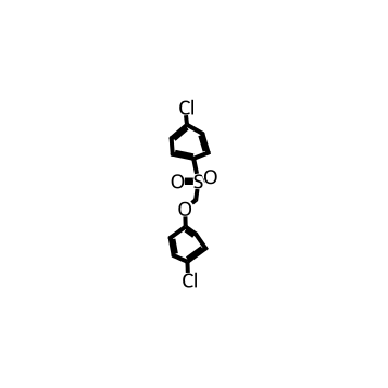 O=S(=O)(COc1ccc(Cl)cc1)c1ccc(Cl)cc1